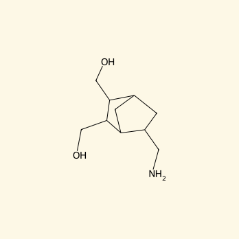 NCC1CC2CC1C(CO)C2CO